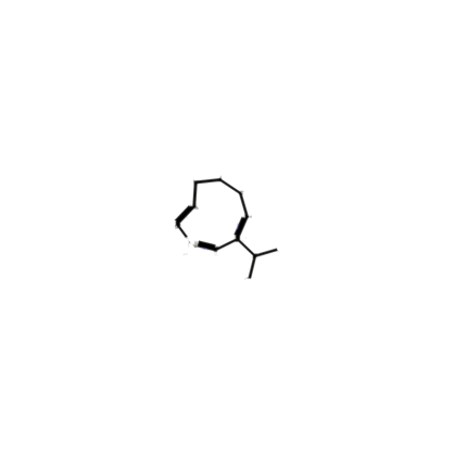 CC(C)C1=C/CCC/C=C/N=C\1